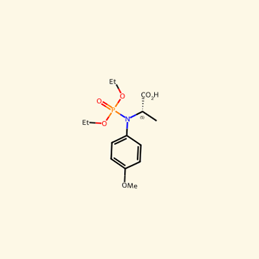 CCOP(=O)(OCC)N(c1ccc(OC)cc1)[C@@H](C)C(=O)O